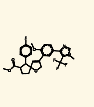 COC(=O)C1CCC2(C=C(c3cc(-c4ncn(C)c4C(F)(F)F)ccc3OC)CO2)C1c1ccc(F)cc1